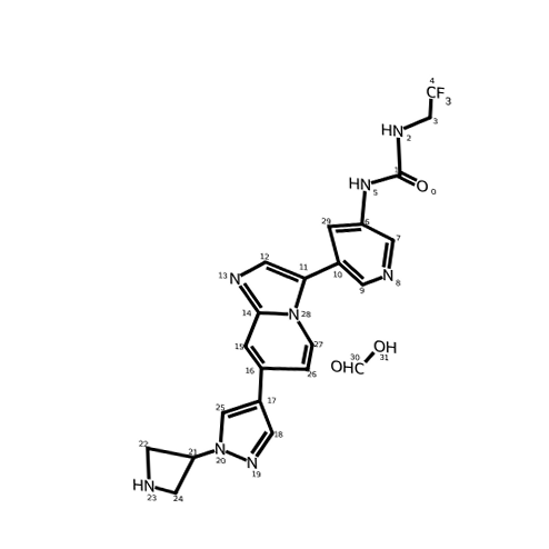 O=C(NCC(F)(F)F)Nc1cncc(-c2cnc3cc(-c4cnn(C5CNC5)c4)ccn23)c1.O=CO